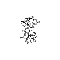 COc1cccc2c1N(c1ccc(CC(NC(=O)c3c(Cl)cccc3Cl)C(=O)O)cc1)C(=O)C21CC1